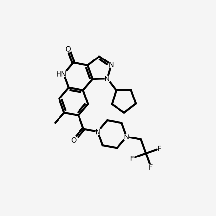 Cc1cc2[nH]c(=O)c3cnn(C4CCCC4)c3c2cc1C(=O)N1CCN(CC(F)(F)F)CC1